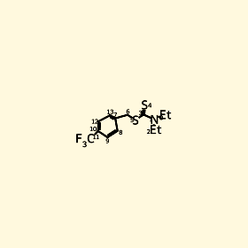 CCN(CC)C(=S)SCc1ccc(C(F)(F)F)cc1